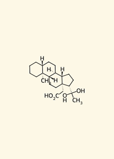 CC(O)(O)[C@H]1CC[C@H]2[C@@H]3CC[C@H]4CCCC[C@]4(C)[C@H]3CC[C@]12CC(=O)O